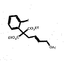 CCOC(=O)C(CC=CCOC(C)=O)(C(=O)OCC)c1ccccc1I